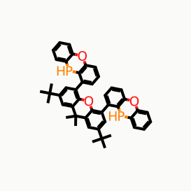 CC(C)(C)c1cc(-c2cccc3c2Pc2ccccc2O3)c2c(c1)C(C)(C)c1cc(C(C)(C)C)cc(-c3cccc4c3Pc3ccccc3O4)c1O2